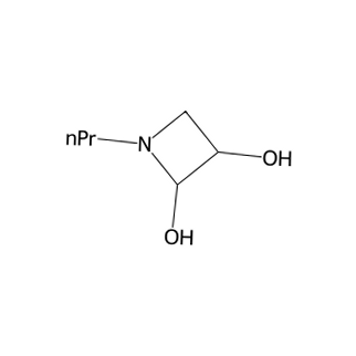 CCCN1CC(O)C1O